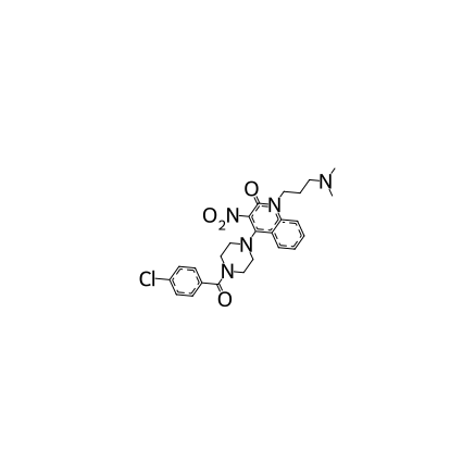 CN(C)CCCn1c(=O)c([N+](=O)[O-])c(N2CCN(C(=O)c3ccc(Cl)cc3)CC2)c2ccccc21